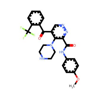 COc1ccc(NC(=O)c2nncc(C(=O)c3ccccc3C(F)(F)F)c2N2CCNCC2)cc1